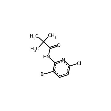 CC(C)(C)C(=O)Nc1nc(Cl)ccc1Br